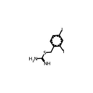 N=C(N)SCc1ccc(I)cc1I